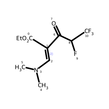 CCOC(=O)/C(=C\N(C)C)C(=O)C(F)C(F)(F)F